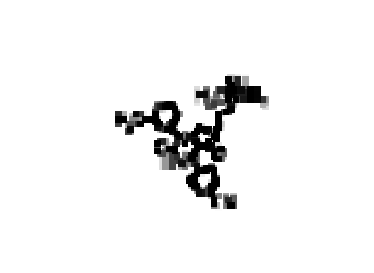 C[N+](C)(C)CCCN1CC2=C(C1=O)[C@@H](c1ccc(C#N)cc1)NC(=O)N2c1cccc(C(F)(F)F)c1